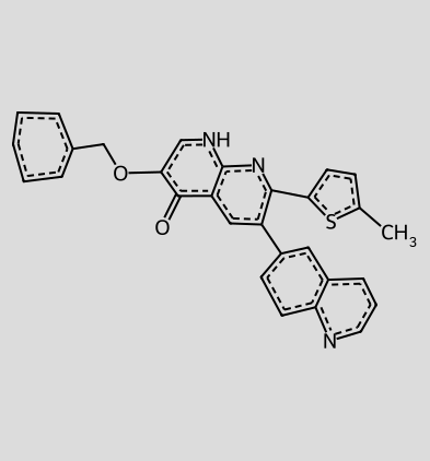 Cc1ccc(-c2nc3[nH]cc(OCc4ccccc4)c(=O)c3cc2-c2ccc3ncccc3c2)s1